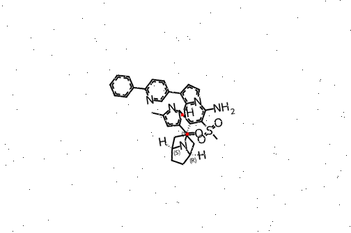 Cc1cc(C(=O)N2[C@@H]3CC[C@H]2C[C@H](c2nc4c(-c5ccc(-c6ccccc6)nc5)ccn4c(N)c2S(C)(=O)=O)C3)[nH]n1